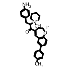 Cc1ccc(-c2ccc3c(c2)C=C(C(=O)C(Cc2ccc(N)cc2)[N+]2(C)CCCCC2)CCO3)cc1.[I-]